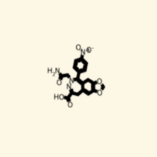 NC(=O)CN1N=C(C(=O)O)CC2=CC3=C(CC2=C1c1ccc([N+](=O)[O-])cc1)OCO3